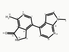 Cn1ccc2c(-c3cnc(N)c4c3CNC4=O)ccnc21